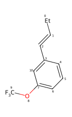 CCC=Cc1cccc(OC(F)(F)F)c1